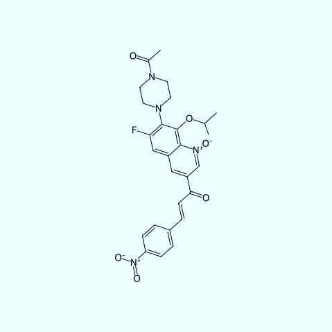 CC(=O)N1CCN(c2c(F)cc3cc(C(=O)C=Cc4ccc([N+](=O)[O-])cc4)c[n+]([O-])c3c2OC(C)C)CC1